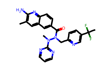 Cc1cc2cc(C(=O)N(Cc3ccc(C(C)(F)F)cn3)N(C)c3ncccn3)ccc2nc1N